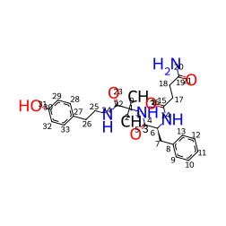 CC(C)(NC(=O)[C@H](Cc1ccccc1)NC(=O)CCC(N)=O)C(=O)NCCc1ccc(O)cc1